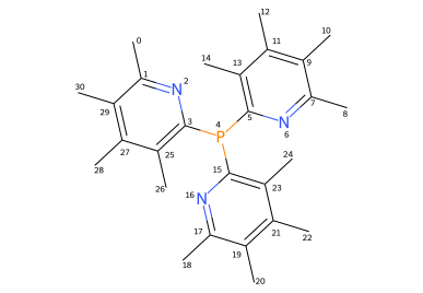 Cc1nc(P(c2nc(C)c(C)c(C)c2C)c2nc(C)c(C)c(C)c2C)c(C)c(C)c1C